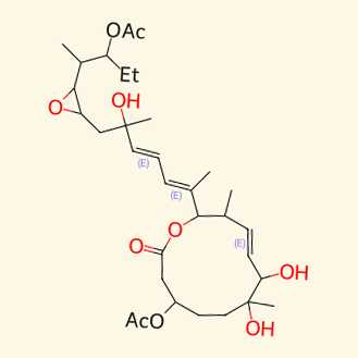 CCC(OC(C)=O)C(C)C1OC1CC(C)(O)/C=C/C=C(\C)C1OC(=O)CC(OC(C)=O)CCC(C)(O)C(O)/C=C/C1C